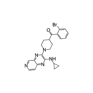 O=C(c1ccccc1Br)C1CCN(c2nc3cnccc3nc2NC2CC2)CC1